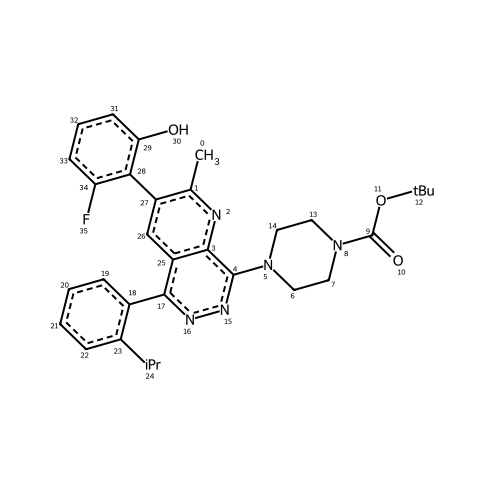 Cc1nc2c(N3CCN(C(=O)OC(C)(C)C)CC3)nnc(-c3ccccc3C(C)C)c2cc1-c1c(O)cccc1F